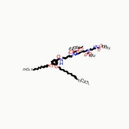 CCCCCCCC/C=C/CCCCCCCCOc1ccc(C(=O)NCCCCN(CCCCN(CCCCNC(=O)OC(C)(C)C)C(=O)OC(C)(C)C)C(=O)OC(C)(C)C)cc1OCCCCCCCC/C=C/CCCCCCCC